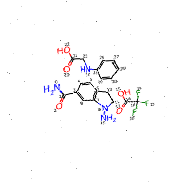 NC(=O)c1ccc2c(c1)N(N)CC2.O=C(O)C(F)(F)F.O=C(O)CNc1ccccc1